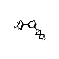 c1ncc(N2CC3(COC3)C2)cc1-c1c[nH]nn1